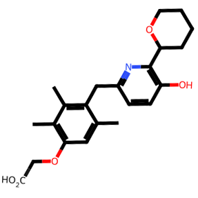 Cc1cc(OCC(=O)O)c(C)c(C)c1Cc1ccc(O)c(C2CCCCO2)n1